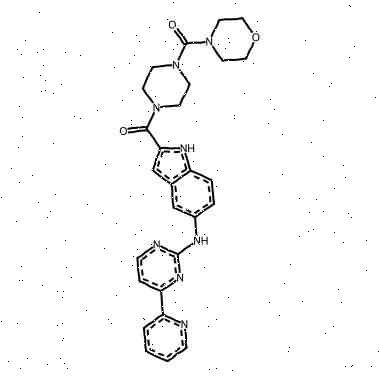 O=C(c1cc2cc(Nc3nccc(-c4ccccn4)n3)ccc2[nH]1)N1CCN(C(=O)N2CCOCC2)CC1